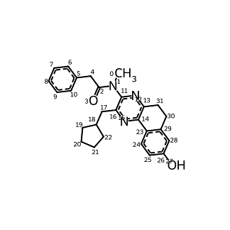 CN(C(=O)Cc1ccccc1)c1nc2c(nc1CC1CCCC1)-c1ccc(O)cc1CC2